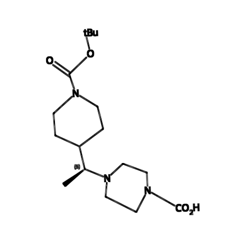 C[C@@H](C1CCN(C(=O)OC(C)(C)C)CC1)N1CCN(C(=O)O)CC1